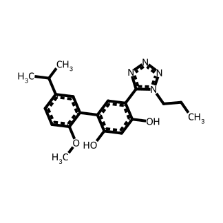 CCCn1nnnc1-c1cc(-c2cc(C(C)C)ccc2OC)c(O)cc1O